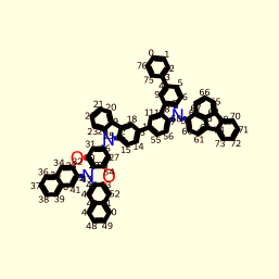 c1ccc(-c2ccc3c(c2)c2cc(-c4ccc5c(c4)c4ccccc4n5-c4cc5c6c(c4)Oc4cc7ccccc7cc4N6c4cc6ccccc6cc4O5)ccc2n3-c2ccc3c4c(cccc24)-c2ccccc2-3)cc1